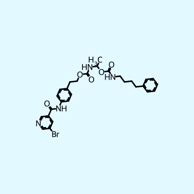 CC(NC(=O)OCCc1ccc(NC(=O)c2cncc(Br)c2)cc1)OC(=O)NCCCCc1ccccc1